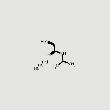 C=CC(=O)NC(C)N.Cl.Cl.Cl